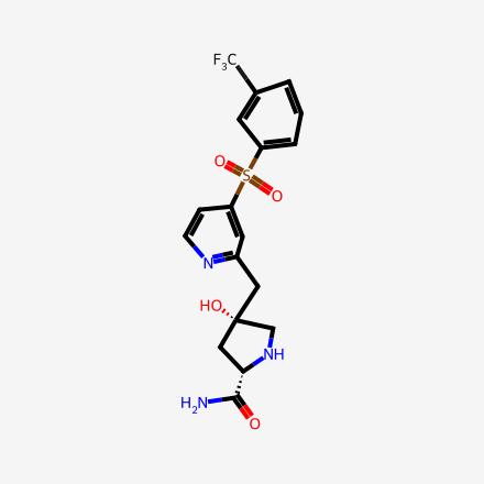 NC(=O)[C@@H]1C[C@@](O)(Cc2cc(S(=O)(=O)c3cccc(C(F)(F)F)c3)ccn2)CN1